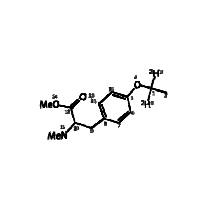 [2H]C([2H])(C)Oc1ccc(CC(NC)C(=O)OC)cc1